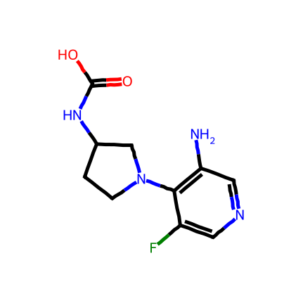 Nc1cncc(F)c1N1CCC(NC(=O)O)C1